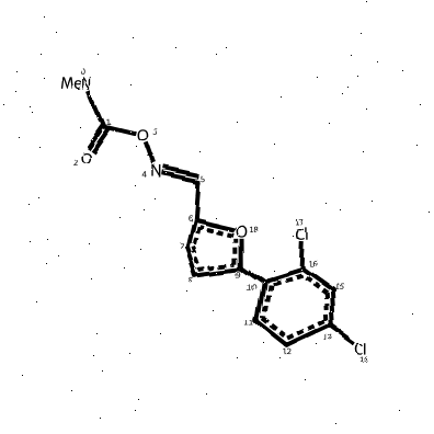 CNC(=O)O/N=C/c1ccc(-c2ccc(Cl)cc2Cl)o1